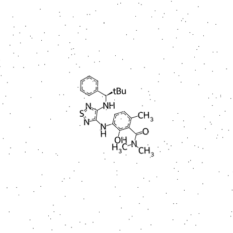 Cc1ccc(Nc2nsnc2N[C@@H](c2ccccc2)C(C)(C)C)c(O)c1C(=O)N(C)C